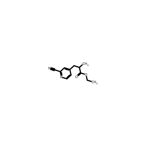 CCOC(=O)C(C)Cc1ccnc(C#N)c1